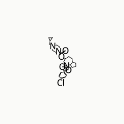 O=C(O[C@H]1CCC2CCCC2N(S(=O)(=O)c2ccc(Cl)cc2)C1)N1CCN(CC2CC2)CC1